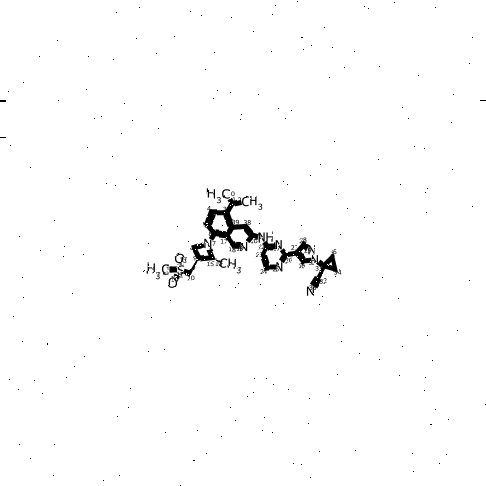 CC(C)c1ccc(N2C[C@H](CS(C)(=O)=O)[C@H]2C)c2cnc(Nc3ccnc(-c4cnn(C5(C#N)CC5)c4)n3)cc12